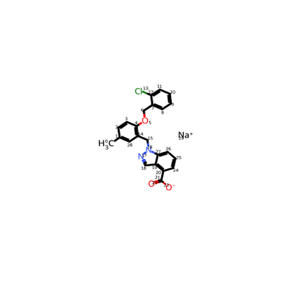 Cc1ccc(OCc2ccccc2Cl)c(Cn2ncc3c(C(=O)[O-])cccc32)c1.[Na+]